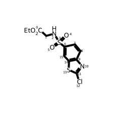 CCOC(=O)CNS(=O)(=O)c1ccc2nc(Cl)sc2c1